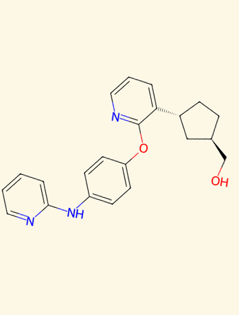 OC[C@@H]1CC[C@@H](c2cccnc2Oc2ccc(Nc3ccccn3)cc2)C1